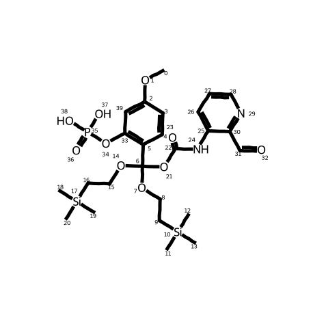 COc1ccc(C(OCC[Si](C)(C)C)(OCC[Si](C)(C)C)OC(=O)Nc2cccnc2C=O)c(OP(=O)(O)O)c1